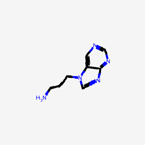 NCCCn1cnc2ncncc21